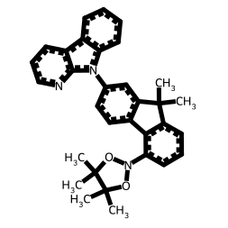 CC1(C)c2cc(-n3c4ccccc4c4cccnc43)ccc2-c2c(N3OC(C)(C)C(C)(C)O3)cccc21